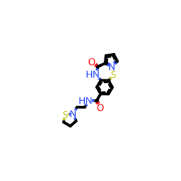 O=C(NCCN1CCCS1)c1ccc2c(c1)NC(=O)c1cccn1S2